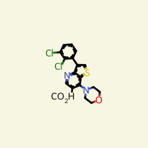 O=C(O)c1cnc2c(-c3cccc(Cl)c3Cl)csc2c1N1CCOCC1